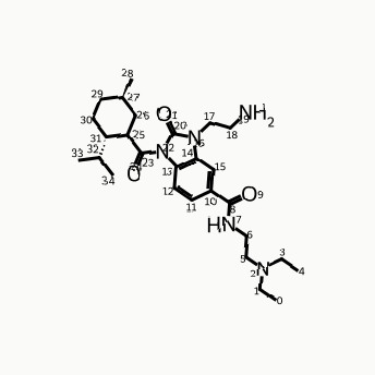 CCN(CC)CCNC(=O)c1ccc2c(c1)n(CCN)c(=O)n2C(=O)C1C[C@H](C)CC[C@H]1C(C)C